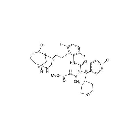 C=C(NC(=O)OC)[C@H](C(=O)Nc1c(F)ccc(F)c1CC[C@H]1CN[C@@H]2CCC[S+]([O-])N1C2)[C@@H](c1ccc(Cl)cc1)C1CCOCC1